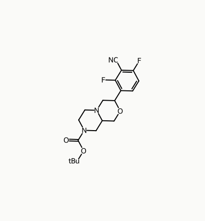 CC(C)(C)OC(=O)N1CCN2CC(c3ccc(F)c(C#N)c3F)OCC2C1